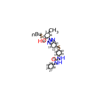 CCCCSc1cc(C)cc(-n2nc3ccc(Sc4ccc(NC(=O)Nc5ccccc5)cc4)cc3n2)c1O